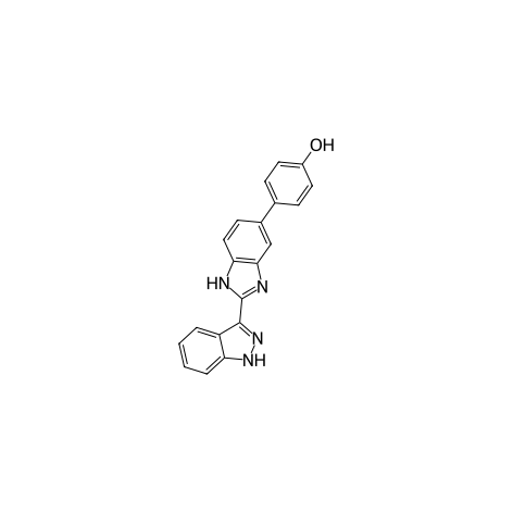 Oc1ccc(-c2ccc3[nH]c(-c4n[nH]c5ccccc45)nc3c2)cc1